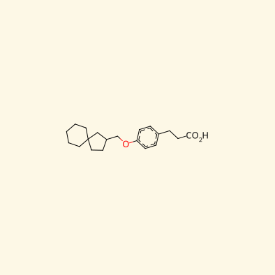 O=C(O)CCc1ccc(OCC2CCC3(CCCCC3)C2)cc1